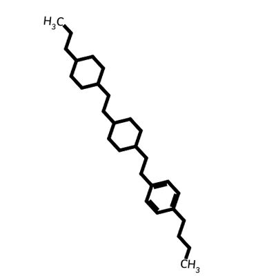 CCCCc1ccc(CCC2CCC(CCC3CCC(CCC)CC3)CC2)cc1